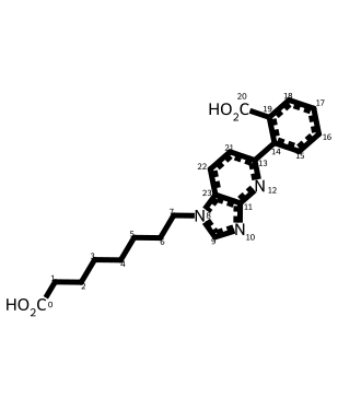 O=C(O)CCCCCCCn1cnc2nc(-c3ccccc3C(=O)O)ccc21